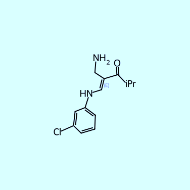 CC(C)C(=O)/C(=C/Nc1cccc(Cl)c1)CN